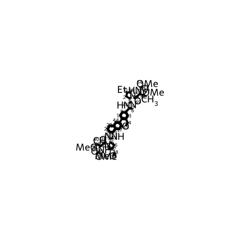 CC[C@H]1C[C@@H](c2ncc(-c3ccc4c(c3)COc3cc5c(ccc6nc([C@@H]7C[C@H](COC)CN7C(=O)[C@@H](NC(=O)OC)[C@H](C)OC)[nH]c65)cc3-4)[nH]2)N(C(=O)[C@@H](NC(=O)OC)[C@H](C)OC)C1